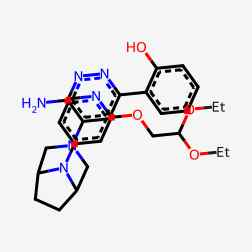 CCOC(COc1cc(N2C3CCC2CN(c2cc(-c4ccccc4O)nnc2N)C3)ccn1)OCC